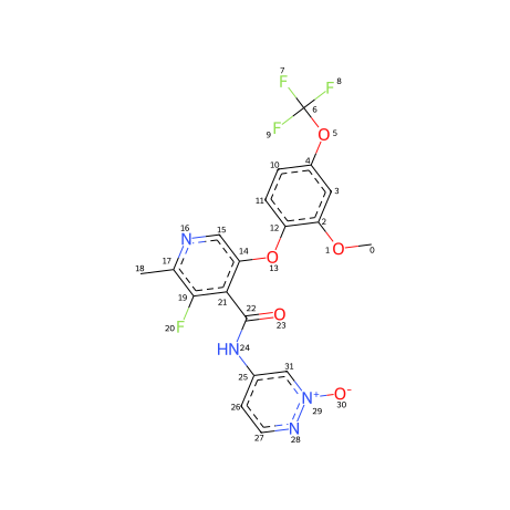 COc1cc(OC(F)(F)F)ccc1Oc1cnc(C)c(F)c1C(=O)Nc1ccn[n+]([O-])c1